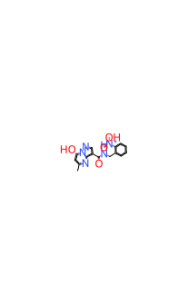 Cc1cc(O)n2ncc(C(=O)NCc3ccccc3[N+](=O)O)c2n1